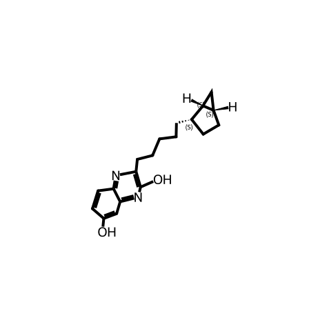 Oc1ccc2nc(CCCCC[C@H]3CC[C@H]4C[C@@H]34)c(O)nc2c1